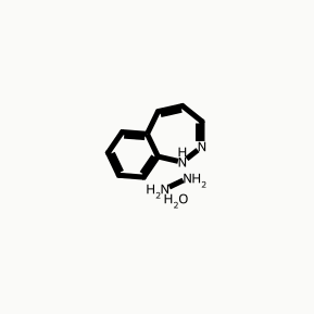 C1=Cc2ccccc2NN=C1.NN.O